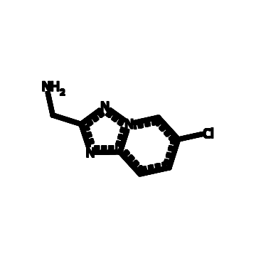 NCc1nc2ccc(Cl)cn2n1